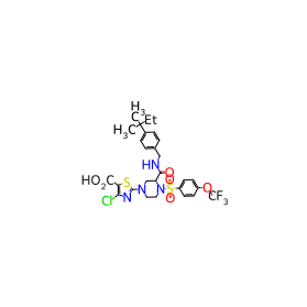 CCC(C)(C)c1ccc(CNC(=O)C2CN(c3nc(Cl)c(C(=O)O)s3)CCN2S(=O)(=O)c2ccc(OC(F)(F)F)cc2)cc1